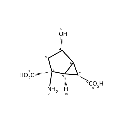 N[C@@]1(C(=O)O)C[C@H](O)C2[C@H](C(=O)O)[C@H]21